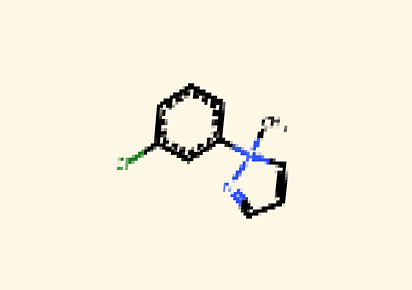 C[N+]1(c2cccc(Cl)c2)C=CC=N1